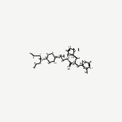 CCCN(CCC)C1CCC(NCCC(=O)N(Cc2ncc[nH]2)Cc2ncc[nH]2)CC1